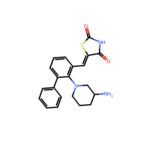 NC1CCCN(c2c(C=C3SC(=O)NC3=O)cccc2-c2ccccc2)C1